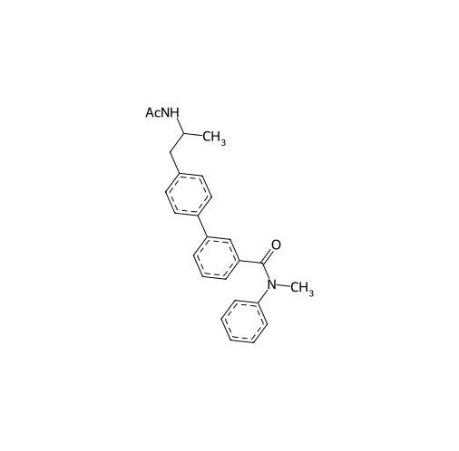 CC(=O)NC(C)Cc1ccc(-c2cccc(C(=O)N(C)c3ccccc3)c2)cc1